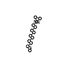 C1=c2c(sc3ccccc23)=C(c2cccc3c(-c4cccc5c(-c6cccc7c(-c8cccc9c(-c%10cnc%11c%12ccccc%12c%12ccccc%12c%11n%10)cccc89)cccc67)cccc45)cccc23)CC1